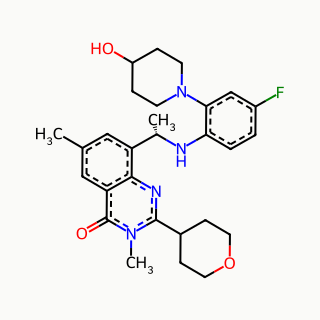 Cc1cc([C@H](C)Nc2ccc(F)cc2N2CCC(O)CC2)c2nc(C3CCOCC3)n(C)c(=O)c2c1